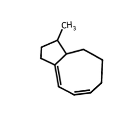 CC1CCC2=CC=CCCCC21